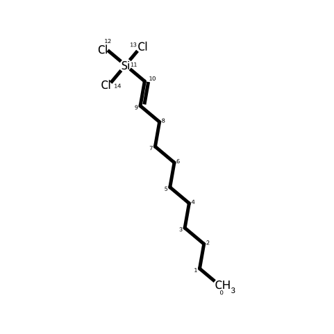 CCCCCCCCCC=C[Si](Cl)(Cl)Cl